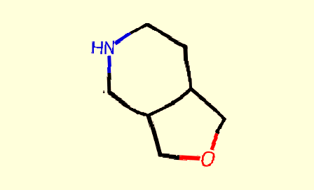 [CH]1NCCC2COCC12